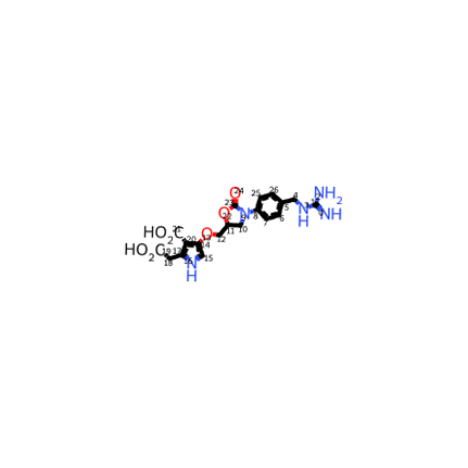 N=C(N)NCc1ccc(N2CC(COc3c[nH]c(CC(=O)O)c3C(=O)O)OC2=O)cc1